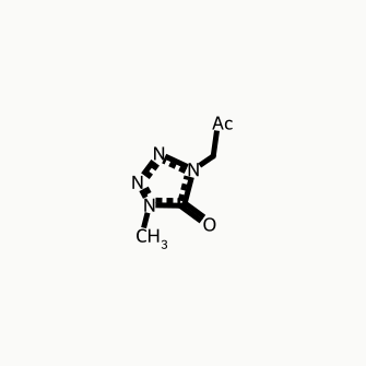 CC(=O)Cn1nnn(C)c1=O